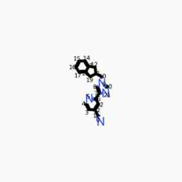 N#Cc1ccnc(-c2cn(CC3Cc4ccccc4C3)cn2)c1